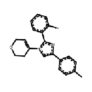 Cc1ccc(-c2cn(C3=CCOCC3)c(-c3ccccc3F)n2)cc1